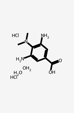 CN(C)c1c(N)cc(C(=O)O)cc1N.Cl.Cl.O.O